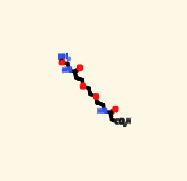 NOCNC(=O)CCOCCOCCNC(=O)CC(=O)O